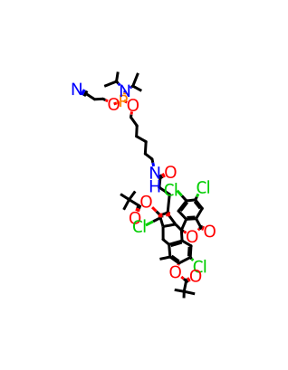 Cc1c2c(cc(Cl)c1OC(=O)C(C)(C)C)C1(OC(=O)c3cc(Cl)c(Cl)cc31)C1C=C(CCC(=O)NCCCCCCOP(OCCC#N)N(C(C)C)C(C)C)C(OC(=O)C(C)(C)C)=C(Cl)C1C2